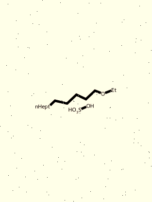 CCCCCCCCCCCCOCC.O=S(=O)(O)O